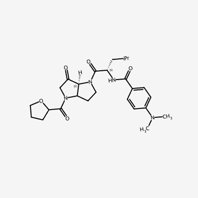 CC(C)C[C@H](NC(=O)c1ccc(N(C)C)cc1)C(=O)N1CCC2[C@H]1C(=O)CN2C(=O)C1CCCO1